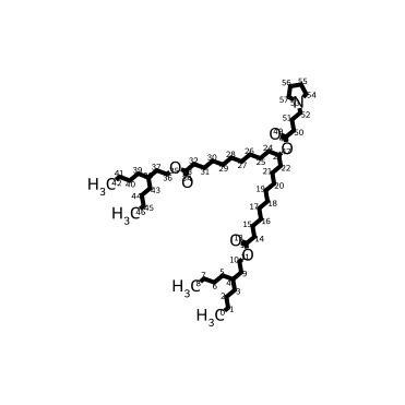 CCCCC(CCCC)CCOC(=O)CCCCCCCCCC(CCCCCCCCCC(=O)OCCC(CCCC)CCCC)OC(=O)CCCN1CCCC1